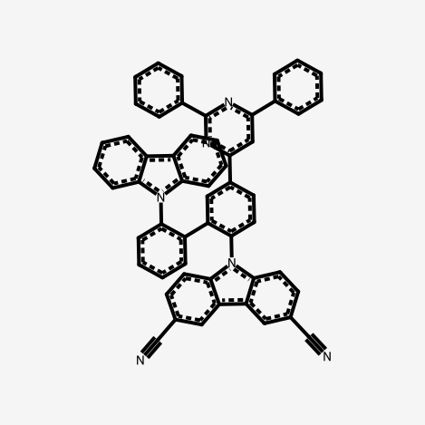 N#Cc1ccc2c(c1)c1cc(C#N)ccc1n2-c1ccc(-c2cc(-c3ccccc3)nc(-c3ccccc3)n2)cc1-c1ccccc1-n1c2ccccc2c2ccccc21